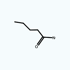 CCCCC([N])=O